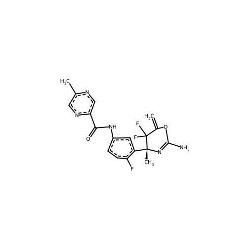 C=C1OC(N)=N[C@](C)(c2cc(NC(=O)c3cnc(C)cn3)ccc2F)C1(F)F